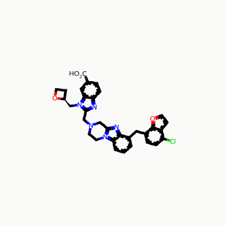 O=C(O)c1ccc2nc(CN3CCn4c(nc5c(Cc6ccc(Cl)c7ccoc67)cccc54)C3)n(C[C@@H]3CCO3)c2c1